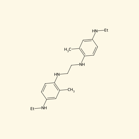 CCNc1ccc(NCCNc2ccc(NCC)cc2C)c(C)c1